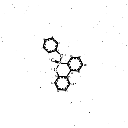 O=P1(Oc2ccccc2)Oc2ccccc2-c2ccccc21